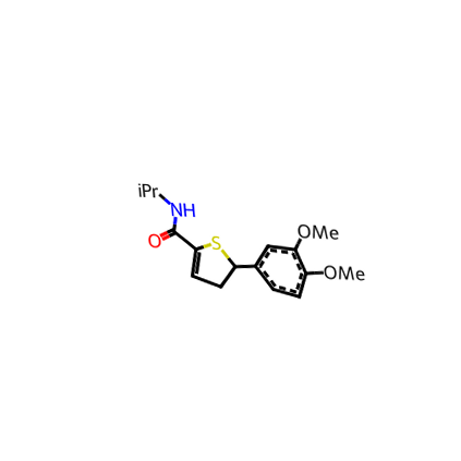 COc1ccc(C2CC=C(C(=O)NC(C)C)S2)cc1OC